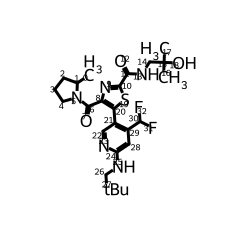 CC1CCCN1C(=O)c1nc(C(=O)NCC(C)(C)O)sc1-c1cnc(NCC(C)(C)C)cc1C(F)F